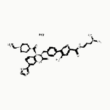 Cc1cc(C(=O)NCCCN(C)C)ncc1-c1ccc(C[C@@H](C(N)=O)N(c2ccc(-c3nnn[nH]3)cc2)C(=O)[C@H]2CC[C@H](CN)CC2)cc1.Cl